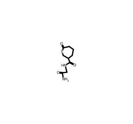 NC(=O)CNC(=O)C1CCCC(=O)SC1